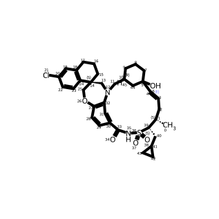 C[C@H]1C/C=C/C2(O)CCC[C@@H](CN3C[C@@]4(CCCc5cc(Cl)ccc54)COc4ccc(cc43)C(=O)NS(=O)(=O)[C@H]1CC1CC1)C2